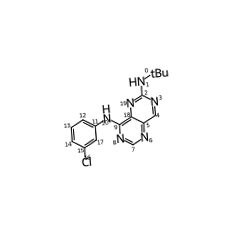 CC(C)(C)Nc1ncc2ncnc(Nc3cccc(Cl)c3)c2n1